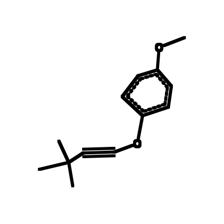 COc1ccc(OC#CC(C)(C)C)cc1